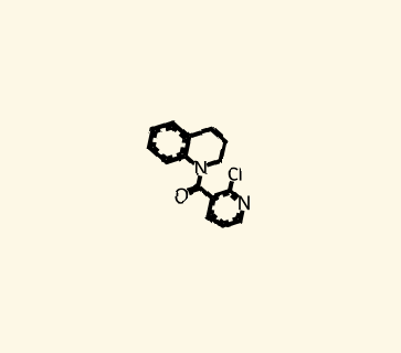 O=C(c1cccnc1Cl)N1CCCc2ccccc21